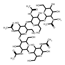 CC(=O)NC1C(O)OC(CO)C(OC2OC(CO)C(OC3OC(CO)C(OC4OC(CO)C(OC5OC(CO)C(O)C(O)C5N(C)C(C)=O)C(O)C4NC(C)=O)C(O)C3NC(C)=O)C(O)C2NC(C)=O)C1O